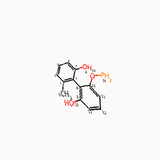 Cc1cccc(O)c1-c1c(O)cccc1OP